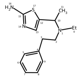 CCN(CCc1ccccc1)C(C)c1cnc(N)s1